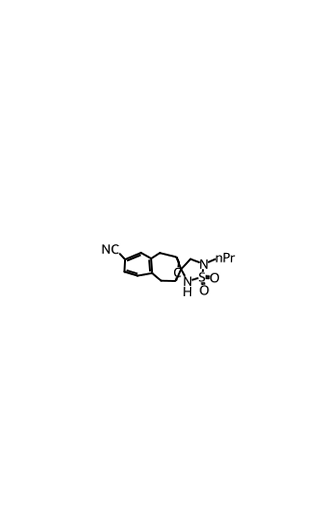 CCCN1CC2(NS1(=O)=O)C1CCC2Cc2cc(C#N)ccc2C1